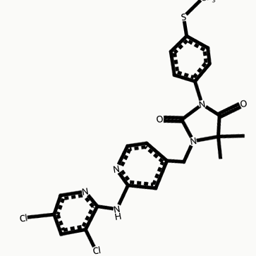 CC1(C)C(=O)N(c2ccc(SC(F)(F)F)cc2)C(=O)N1Cc1ccnc(Nc2ncc(Cl)cc2Cl)c1